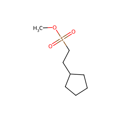 COS(=O)(=O)CCC1CCCC1